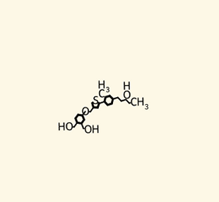 CCC(O)CCc1ccc(-c2cc(COc3ccc(CO)c(CO)c3)cs2)c(C)c1